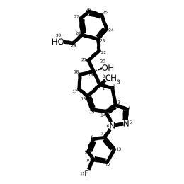 CC12Cc3cnn(-c4ccc(F)cc4)c3C=C1CC[C@@]2(O)CCc1ccccc1CO